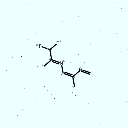 C=N/C(C)=C\N=C(/C)C(F)F